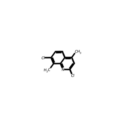 Cc1cc(Cl)nc2c(C)c(Cl)ccc12